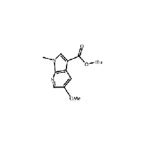 COc1cnc2c(c1)c(C(=O)OC(C)(C)C)cn2C